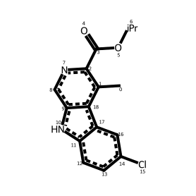 Cc1c(C(=O)OC(C)C)ncc2[nH]c3ccc(Cl)cc3c12